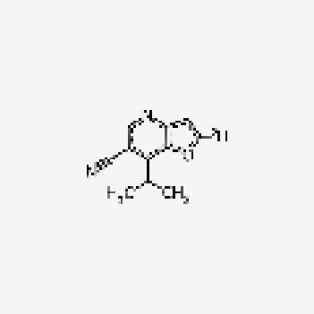 [2H]c1cc2ncc(C#N)c(C(C)C)c2o1